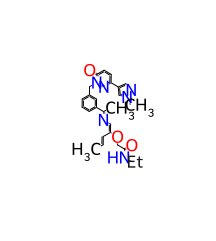 CC=C/C(=C\N=C(/C)c1cccc(Cn2nc(-c3cnn(C)c3)ccc2=O)c1)OCC(=O)NCC